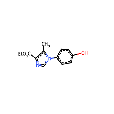 CCOC(=O)c1ncn(-c2ccc(O)cc2)c1C